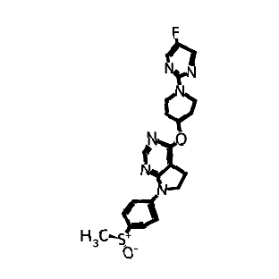 C[S@+]([O-])c1ccc(N2CCc3c(OC4CCN(c5ncc(F)cn5)CC4)ncnc32)cc1